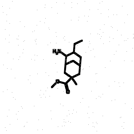 CCC1CC2CC(CC(C)(C(=O)OC)C2)C1N